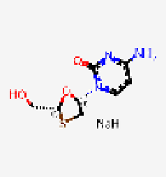 Nc1ccn([C@@H]2CS[C@H](CO)O2)c(=O)n1.[NaH]